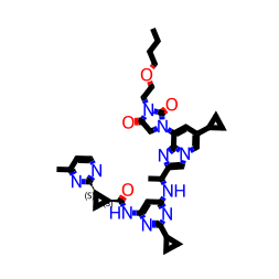 CCCCOCCN1C(=O)CN(c2cc(C3CC3)cn3cc(C(C)Nc4cc(NC(=O)[C@H]5C[C@@H]5c5nccc(C)n5)nc(C5CC5)n4)nc23)C1=O